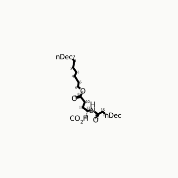 CCCCCCCCCCCCCCCCOC(=O)CC[C@H](NC(=O)CCCCCCCCCCC)C(=O)O